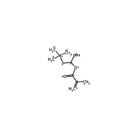 C=C(C)C(=O)OC(CCCC)C[N+](C)(C)C